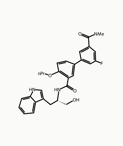 CCCOc1ccc(-c2cc(F)cc(C(=O)NC)c2)cc1C(=O)N[C@H](CO)Cc1c[nH]c2ccccc12